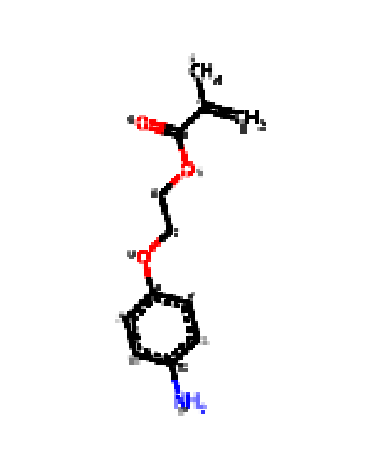 C=C(C)C(=O)OCCOc1ccc(N)cc1